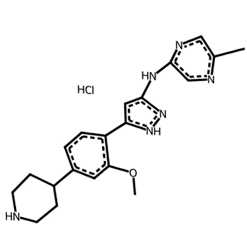 COc1cc(C2CCNCC2)ccc1-c1cc(Nc2cnc(C)cn2)n[nH]1.Cl